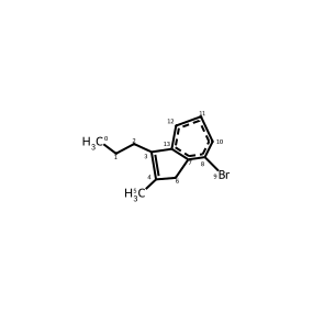 CCCC1=C(C)Cc2c(Br)cccc21